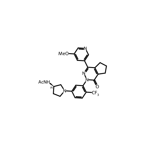 COc1cncc(-c2nn(-c3cc(N4CC[C@@H](NC(C)=O)C4)ccc3C(F)(F)F)c(=O)c3c2CCC3)c1